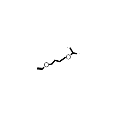 [CH2]C([CH2])OCCCCOC=C